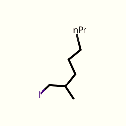 CCCCCCC(C)CI